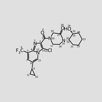 O=C(c1nc2c(C(F)(F)F)cc(C3CC3)cn2c1Cl)N1CCN([C@H]2CCCC[C@@H]2O)C(=O)C1